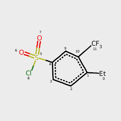 CCc1ccc(S(=O)(=O)Cl)cc1C(F)(F)F